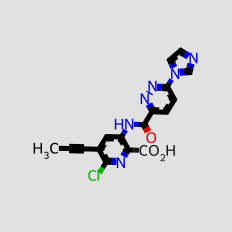 CC#Cc1cc(NC(=O)c2ccc(-n3ccnc3)nn2)c(C(=O)O)nc1Cl